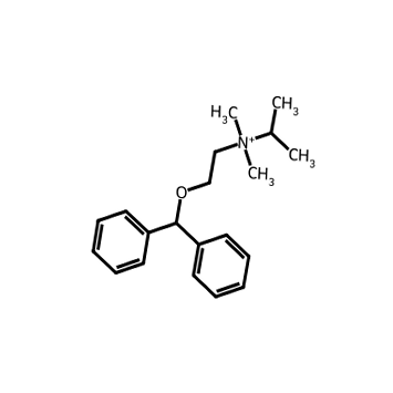 CC(C)[N+](C)(C)CCOC(c1ccccc1)c1ccccc1